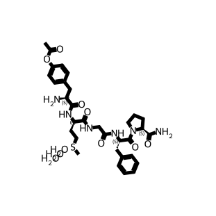 CSCC[C@@H](NC(=O)[C@@H](N)Cc1ccc(OC(C)=O)cc1)C(=O)NCC(=O)N[C@@H](Cc1ccccc1)C(=O)N1CCC[C@H]1C(N)=O.O.O.O